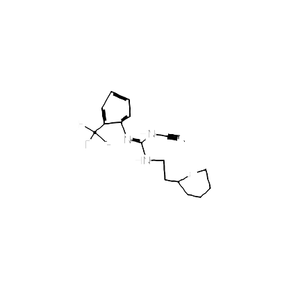 N#CNC(=Nc1ccccc1C(F)(F)F)NCCC1CCCCC1